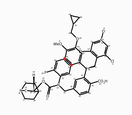 COc1ccc([C@@H](Cc2c(Cl)c[n+]([O-])cc2Cl)c2cc(CN(C(=O)O[C@H]3CN4CCC3CC4)c3ccccc3F)ccc2C(=O)O)cc1OCC1CC1